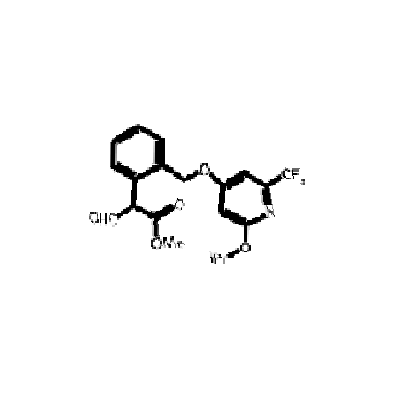 COC(=O)C(C=O)c1ccccc1COc1cc(OC(C)C)nc(C(F)(F)F)c1